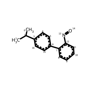 CC(C)c1ccc(-c2ccccc2N=O)cc1